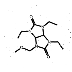 CCN1C(=O)N(CC)C2C1N(CC)C(=O)N2COC